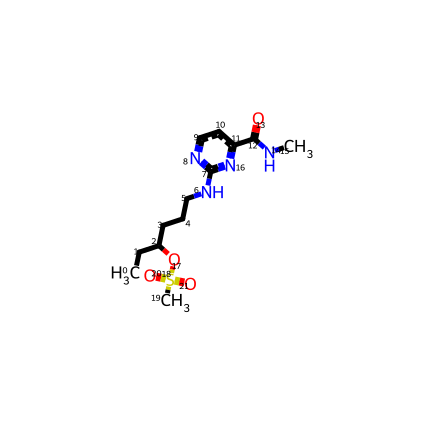 CCC(CCCNc1nccc(C(=O)NC)n1)OS(C)(=O)=O